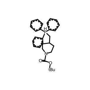 CC(C)(C)OC(=O)N1CCC(C[PH](c2ccccc2)(c2ccccc2)c2ccccc2)CC1